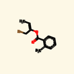 CC=C(CBr)OC(=O)c1ccccc1C